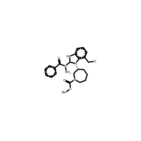 CC(C)(C)OC(=O)N1CCCC[C@@H](N2c3c(CCl)cccc3NC2N(N)C(=O)c2ccccc2)C1